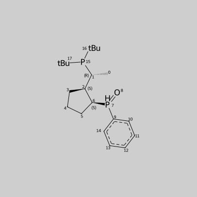 C[C@H]([C@@H]1CCC[C@@H]1[PH](=O)c1ccccc1)P(C(C)(C)C)C(C)(C)C